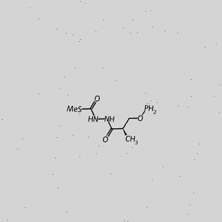 CSC(=O)NNC(=O)[C@H](C)COP